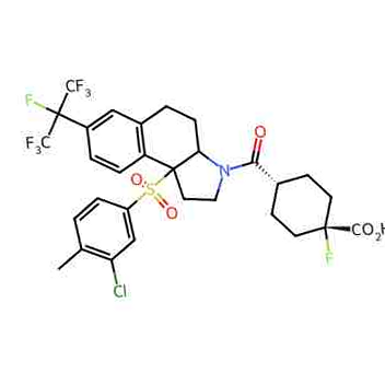 Cc1ccc(S(=O)(=O)C23CCN(C(=O)[C@H]4CC[C@](F)(C(=O)O)CC4)C2CCc2cc(C(F)(C(F)(F)F)C(F)(F)F)ccc23)cc1Cl